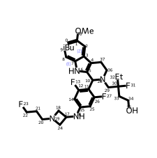 C=C(/C=c1/c2c([nH]/c1=C/C(C)CC)C(c1c(F)cc(NC3CN(CCCF)C3)cc1F)N(CC(F)(CC)CCO)CC2)OC